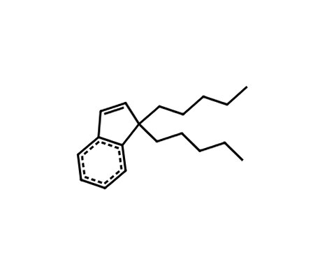 CCCCCC1(CCCCC)C=Cc2ccccc21